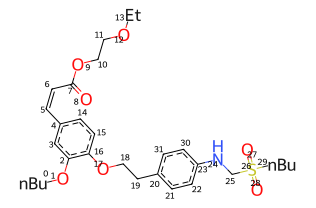 CCCCOc1cc(/C=C\C(=O)OCCOCC)ccc1OCCc1ccc(NCS(=O)(=O)CCCC)cc1